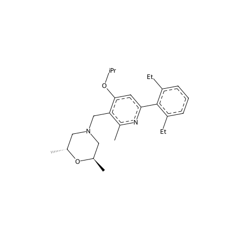 CCc1cccc(CC)c1-c1cc(OC(C)C)c(CN2C[C@@H](C)O[C@H](C)C2)c(C)n1